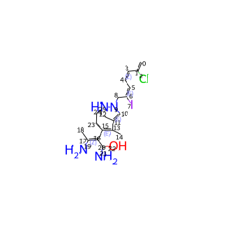 C=C(Cl)/C=C\C=C(\I)CN1/C=C(C)/C(C)=C(/C(=C(\C)N)C(N)O)CCN1